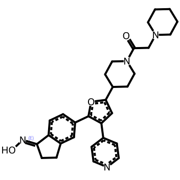 O=C(CN1CCCCC1)N1CCC(c2cc(-c3ccncc3)c(-c3ccc4c(c3)CC/C4=N\O)o2)CC1